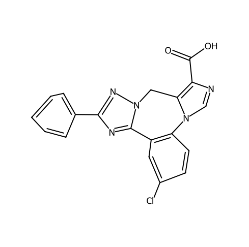 O=C(O)c1ncn2c1Cn1nc(-c3ccccc3)nc1-c1cc(Cl)ccc1-2